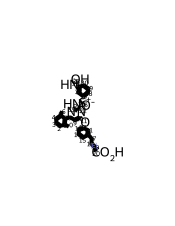 Cc1cccc(C)c1-c1cc(Oc2cccc(C/C=C/C(=O)O)c2)nc(N[S+]([O-])c2cccc(NO)c2)n1